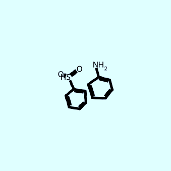 Nc1ccccc1.O=[SH](=O)c1ccccc1